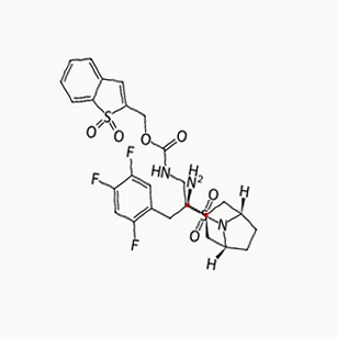 N[C@H](Cc1cc(F)c(F)cc1F)[C@@H]1C[C@H]2CC[C@@H](C1)N2S(=O)(=O)CCNC(=O)OCC1=Cc2ccccc2S1(=O)=O